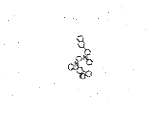 c1ccc(N(c2cccc(-c3ccc4ccccc4c3)c2)c2cccc(-n3c4ccccc4c4cc5oc6ccccc6c5cc43)c2)cc1